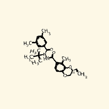 C=C[C@H]1COc2ccc(C(=O)NN(C(=O)c3cc(C)cc(C)c3)C(C)(C)C)c(C)c2O1